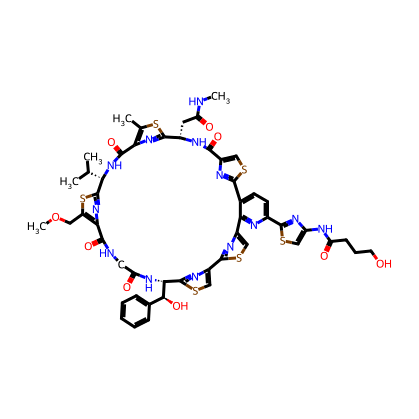 CNC(=O)C[C@@H]1NC(=O)c2csc(n2)-c2ccc(-c3nc(NC(=O)CCCO)cs3)nc2-c2csc(n2)-c2csc(n2)[C@H]([C@@H](O)c2ccccc2)NC(=O)CNC(=O)c2nc(sc2COC)[C@H](C(C)C)NC(=O)c2nc1sc2C